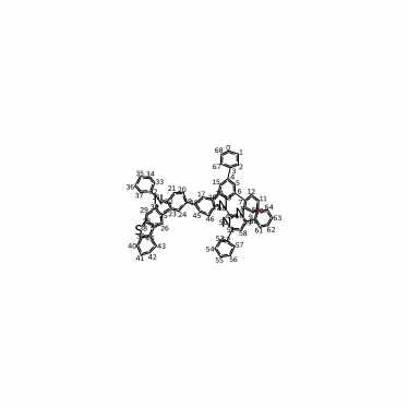 c1ccc(-c2cc(-c3ccccc3)c3c(c2)c2cc(-c4ccc5c(c4)c4cc6c(cc4n5-c4ccccc4)sc4ccccc46)ccc2n3-c2nc(-c3ccccc3)cc(-c3ccccc3)n2)cc1